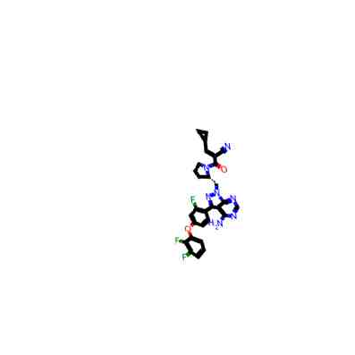 N#C/C(=C\C1CC1)C(=O)N1CCC[C@H]1Cn1nc(-c2ccc(Oc3cccc(F)c3F)cc2F)c2c(N)ncnc21